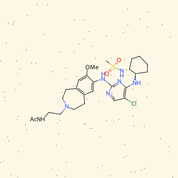 COc1cc2c(cc1Nc1ncc(Cl)c(N[C@@H]3CCCC[C@H]3NS(C)(=O)=O)n1)CCN(CCNC(C)=O)CC2